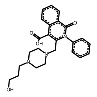 O=C(O)c1c(CN2CCN(CCCO)CC2)n(-c2ccccc2)c(=O)c2ccccc12